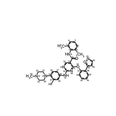 Cc1cccc(C)c1NC(=O)c1cnc(Nc2ccc(N3CCN(C)CC3)c(F)c2)nc1Oc1ccccc1-c1ccno1